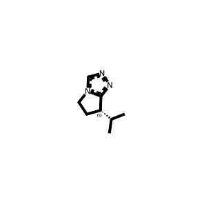 CC(C)[C@@H]1CCn2cnnc21